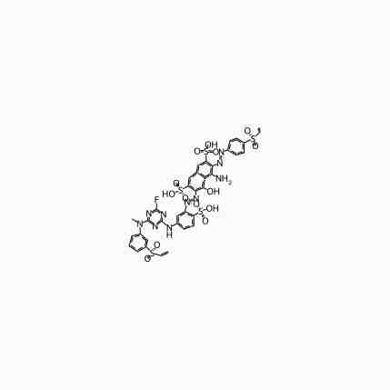 C=CS(=O)(=O)c1ccc(/N=N/c2c(S(=O)(=O)O)cc3cc(S(=O)(=O)O)c(/N=N/c4cc(Nc5nc(F)nc(N(C)c6cccc(S(=O)(=O)C=C)c6)n5)ccc4S(=O)(=O)O)c(O)c3c2N)cc1